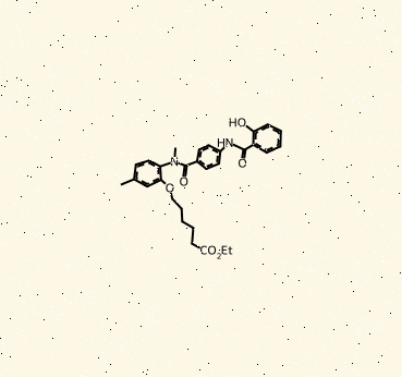 CCOC(=O)CCCCCOc1cc(C)ccc1N(C)C(=O)c1ccc(NC(=O)c2ccccc2O)cc1